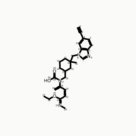 C#Cc1ccc2ncn(CC3(C)CCCC(CN(C(=C)/C=C\C(=N/C)OCC)C(=O)O)C3)c2c1